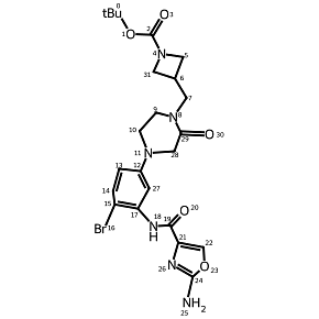 CC(C)(C)OC(=O)N1CC(CN2CCN(c3ccc(Br)c(NC(=O)c4coc(N)n4)c3)CC2=O)C1